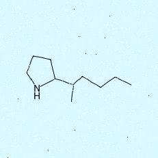 CCCCC(C)C1CCCN1